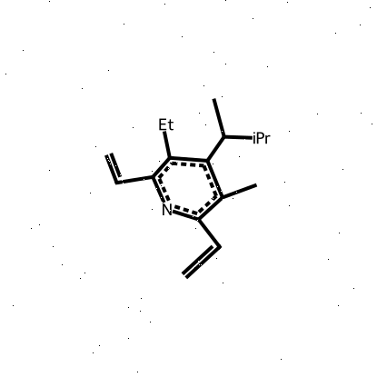 C=Cc1nc(C=C)c(CC)c(C(C)C(C)C)c1C